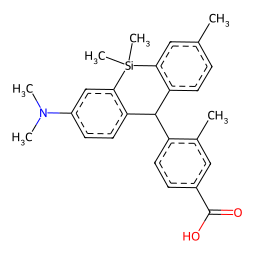 Cc1ccc2c(c1)[Si](C)(C)c1cc(N(C)C)ccc1C2c1ccc(C(=O)O)cc1C